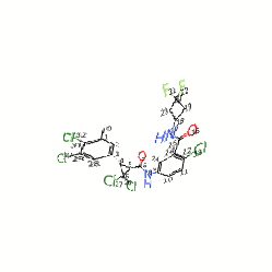 Cc1cc([C@@H]2[C@@H](C(=O)Nc3ccc(Cl)c(C(=O)NC4CC(F)(F)C4)c3)C2(Cl)Cl)cc(Cl)c1Cl